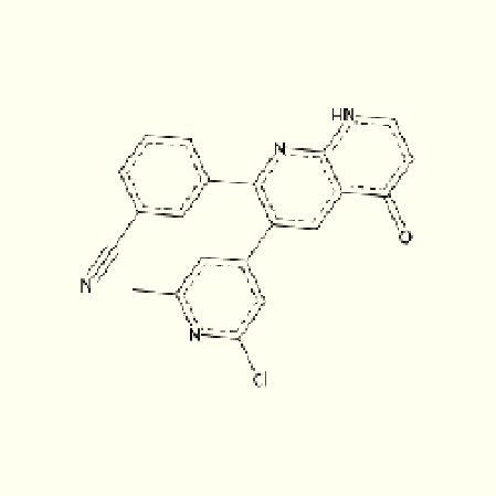 Cc1cc(-c2cc3c(=O)cc[nH]c3nc2-c2cccc(C#N)c2)cc(Cl)n1